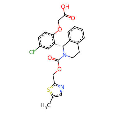 Cc1cnc(COC(=O)N2CCc3ccccc3[C@H]2c2cc(Cl)ccc2OCC(=O)O)s1